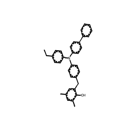 CCc1ccc(N(c2ccc(Cc3cc(C)cc(C)c3O)cc2)c2ccc(-c3ccccc3)cc2)cc1